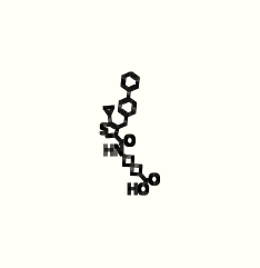 O=C(NC1CC2(C1)CC(C(=O)O)C2)c1csc(C2CC2)c1Cc1ccc(-c2ccccc2)cc1